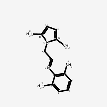 Cc1cccc(C)c1N=CCn1c(C)ccc1C